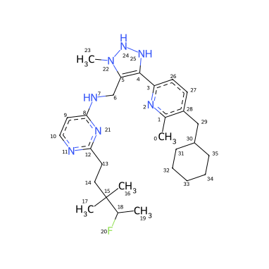 Cc1nc(C2=C(CNc3ccnc(CCC(C)(C)C(C)F)n3)N(C)NN2)ccc1CC1CCCCC1